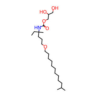 CCC(C)(CCCOCCCCCCCCCCC(C)C)NC(=O)OCC(O)CO